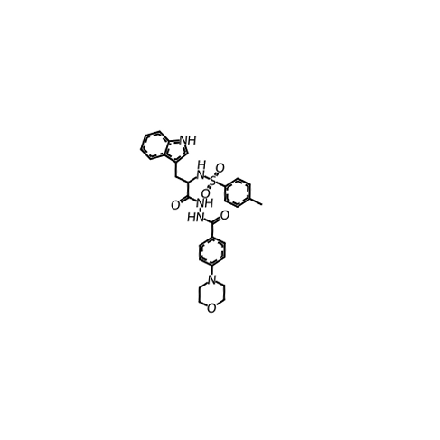 Cc1ccc(S(=O)(=O)NC(Cc2c[nH]c3ccccc23)C(=O)NNC(=O)c2ccc(N3CCOCC3)cc2)cc1